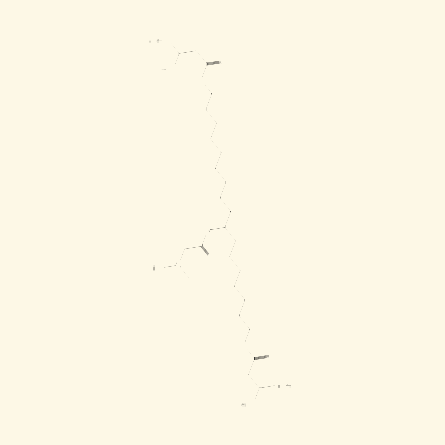 CCCCCC(CCCCC)CC(=O)OCCCCCCCCCC(CCCCCCCOC(=O)CC(CCCCC)CCCCC)NC(=O)CN(C)C(C)C